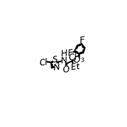 CCC(C)(Oc1ccc(F)cc1F)C(=O)Nc1ncc(Cl)s1